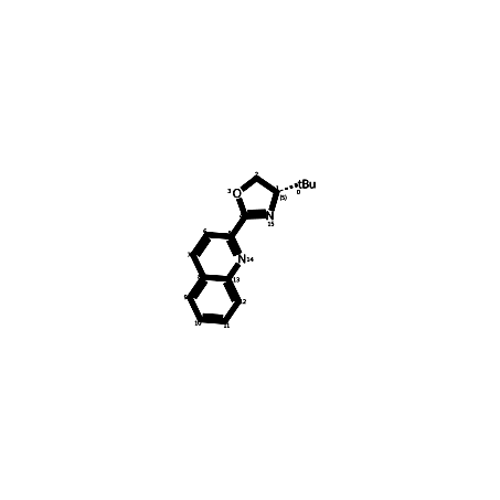 CC(C)(C)[C@H]1COC(c2ccc3ccccc3n2)=N1